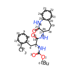 CC(C)(C)OC(=O)NC(Cc1ccccc1C(F)(F)F)C(=O)N[C@@H]1CCc2ccccc2NC1=O